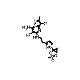 Cc1nn2c(N)c(C#N)c(NCCc3ccn(C4(OS(C)(=O)=O)CC4)n3)nc2c1Cl